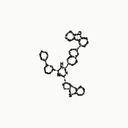 c1ccc(-c2cccc(C3N=C(c4ccc5sc6ccccc6c5c4)N=C(c4ccc5cc(-c6cccc7oc8ccccc8c67)ccc5c4)N3)c2)cc1